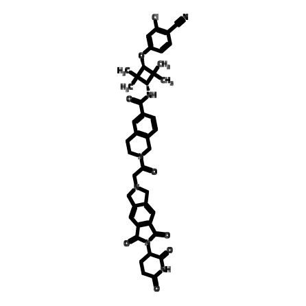 CC1(C)[C@H](NC(=O)c2ccc3c(c2)CCN(C(=O)CN2Cc4cc5c(cc4C2)C(=O)N(C2CCC(=O)NC2=O)C5=O)C3)C(C)(C)[C@H]1Oc1ccc(C#N)c(Cl)c1